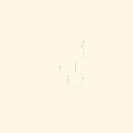 N#C/C=[C]/c1ncccc1[N+](=O)[O-]